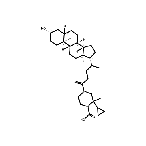 CC(CCC(=O)N1CCN(C(=O)O)C(C)(C2CC2)C1)[C@H]1CC[C@H]2[C@@H]3CC[C@H]4C[C@@H](O)CC[C@]4(C)[C@H]3CC[C@]12C